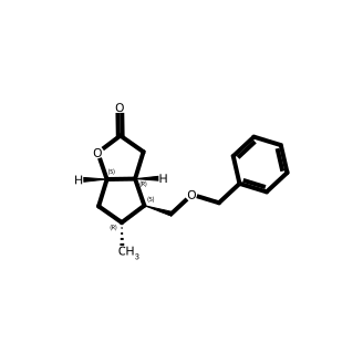 C[C@@H]1C[C@@H]2OC(=O)C[C@@H]2[C@H]1COCc1ccccc1